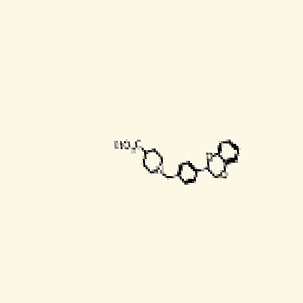 CCOC(=O)C1CCN(Cc2ccc([C@@H]3COc4ccccc4O3)cc2)CC1